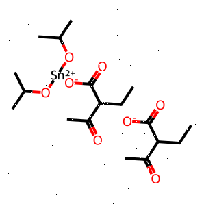 CC(C)[O][Sn+2][O]C(C)C.CCC(C(C)=O)C(=O)[O-].CCC(C(C)=O)C(=O)[O-]